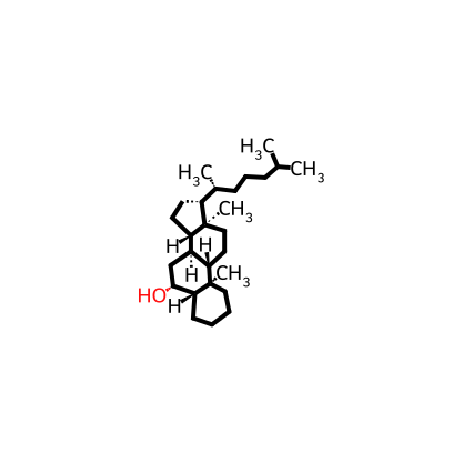 CC(C)CCC[C@@H](C)[C@H]1CC[C@H]2[C@@H]3C[C@@H](O)[C@H]4CCCC[C@]4(C)[C@H]3CC[C@]12C